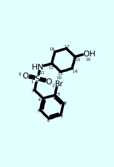 O=S(=O)(Cc1ccccc1Br)NC1CCC(O)CC1